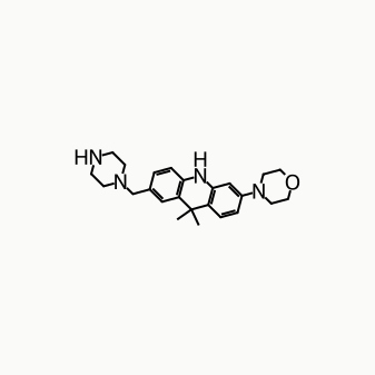 CC1(C)c2ccc(N3CCOCC3)cc2Nc2ccc(CN3CCNCC3)cc21